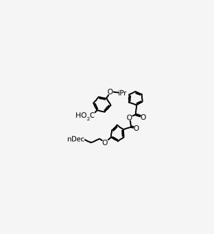 CC(C)Oc1ccc(C(=O)O)cc1.CCCCCCCCCCCCOc1ccc(C(=O)OC(=O)c2ccccc2)cc1